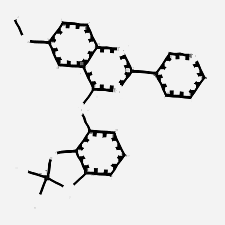 COc1ccc2nc(-c3cccnc3)nc(Nc3cccc4c3OC(F)(F)O4)c2c1